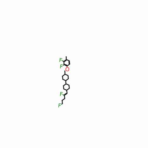 Cc1ccc(OCC2CCC(C3CCC(/C=C(\F)CCCF)CC3)CC2)c(F)c1F